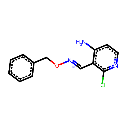 Nc1ccnc(Cl)c1/C=N/OCc1ccccc1